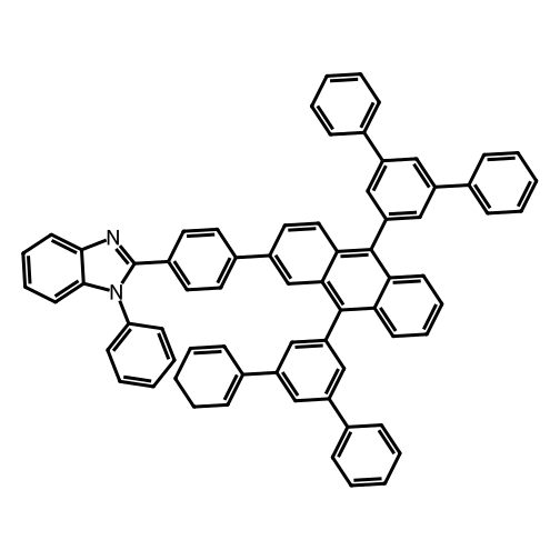 C1=CC(c2cc(-c3ccccc3)cc(-c3c4ccccc4c(-c4cc(-c5ccccc5)cc(-c5ccccc5)c4)c4ccc(-c5ccc(-c6nc7ccccc7n6-c6ccccc6)cc5)cc34)c2)=CCC1